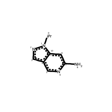 CC(C)n1ncc2cnc(N)cc21